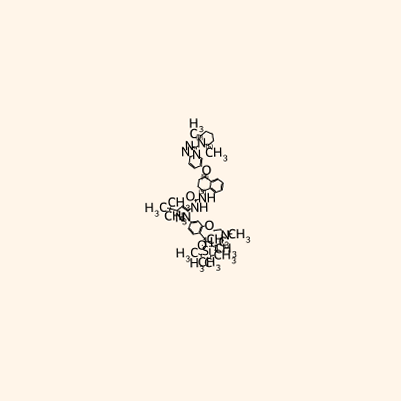 CC(C)[Si](OCc1ccc(-n2nc(C(C)(C)C)cc2NC(=O)N[C@H]2CC[C@@H](Oc3ccc4nnc(N5[C@H](C)CCC[C@@H]5C)n4c3)c3ccccc32)cc1OCCN(C)C)(C(C)C)C(C)C